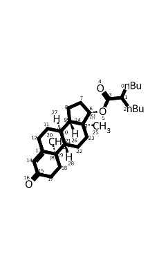 CCCCC(CCCC)C(=O)O[C@H]1CC[C@H]2[C@@H]3CCC4=CC(=O)CC[C@]4(C)[C@H]3CC[C@]12C